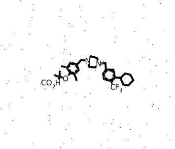 Cc1cc(CN2CCN(Cc3ccc(C(F)(F)F)c(C4CCCCC4)c3)CC2)cc(C)c1OC(C)(C)C(=O)O